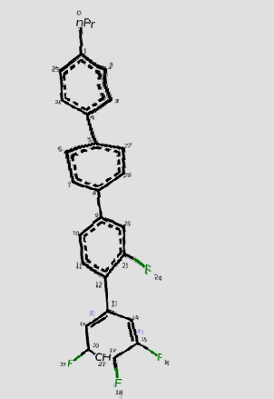 CCCc1ccc(-c2ccc(-c3ccc(C(/C=C(/F)CF)=C/C(C)F)c(F)c3)cc2)cc1